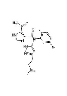 Cc1ccc(Br)cc1N(C(=O)c1nc[nH]c1C(N)=O)c1cc(CCN(C)C)n[nH]1